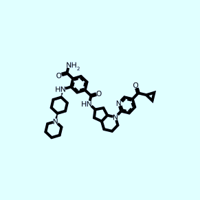 NC(=O)c1ccc(C(=O)NC2CC3CCCN(c4ccc(C(=O)C5CC5)cn4)C3C2)cc1N[C@H]1CC[C@H](N2CCCCC2)CC1